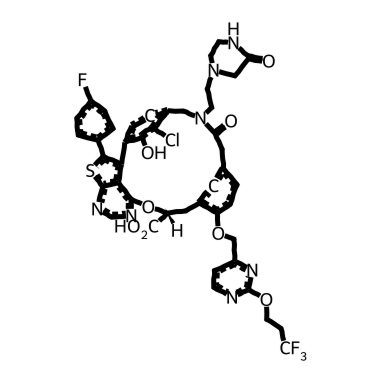 O=C1CN(CCN2Cc3ccc(c(O)c3Cl)-c3c(-c4ccc(F)cc4)sc4ncnc(c34)O[C@@H](C(=O)O)Cc3cc(ccc3OCc3ccnc(OCCC(F)(F)F)n3)CC2=O)CCN1